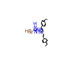 Br.CCc1ccc(C=CC(C=Cc2ccc(CC)cc2)=NNC2=NCCN2)cc1